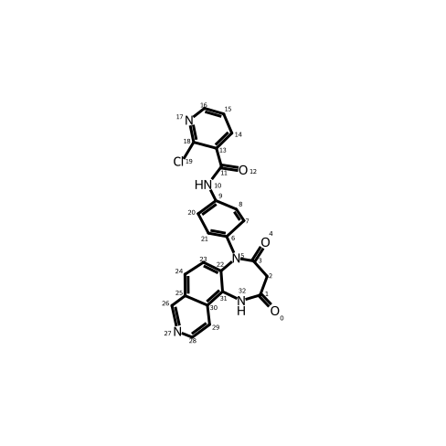 O=C1CC(=O)N(c2ccc(NC(=O)c3cccnc3Cl)cc2)c2ccc3cnccc3c2N1